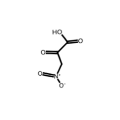 O=C(O)C(=O)C[N+](=O)[O-]